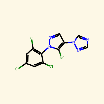 Clc1cc(Cl)c(-n2ncc(-n3cncn3)c2Br)c(Cl)c1